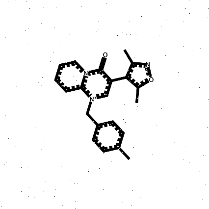 Cc1ccc(C[n+]2cc(-c3c(C)noc3C)c(=O)n3ccccc32)cc1